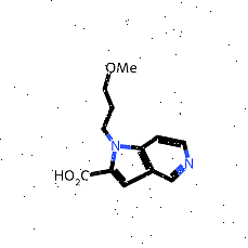 COCCCn1c(C(=O)O)cc2cnccc21